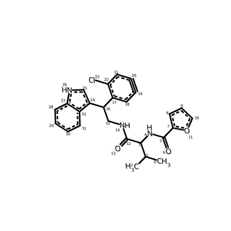 CC(C)C(NC(=O)c1ccco1)C(=O)NCC(c1cc#ccc1Cl)c1c[nH]c2ccccc12